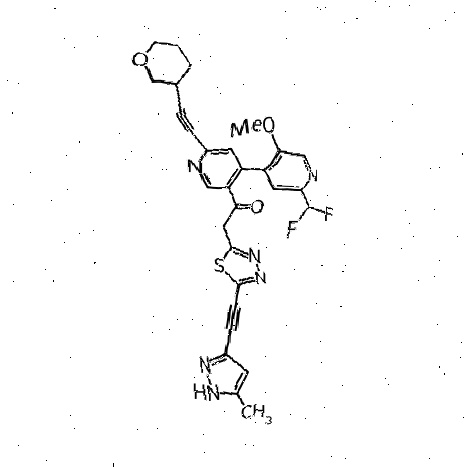 COc1cnc(C(F)F)cc1-c1cc(C#CC2CCCOC2)ncc1C(=O)Cc1nnc(C#Cc2cc(C)[nH]n2)s1